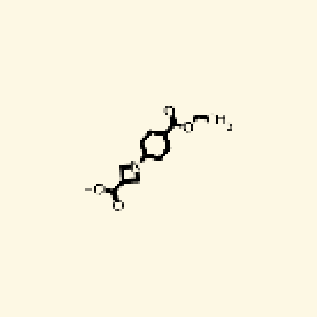 CCOC(=O)C1CCC(N2CC(C(=O)O)C2)CC1